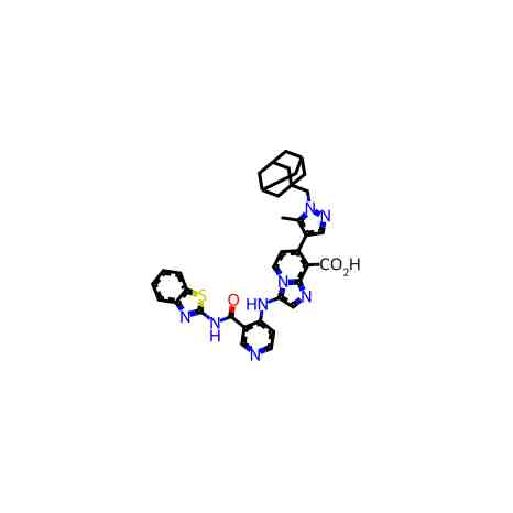 Cc1c(-c2ccn3c(Nc4ccncc4C(=O)Nc4nc5ccccc5s4)cnc3c2C(=O)O)cnn1CC12CC3CC(CC(C3)C1)C2